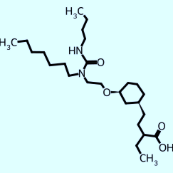 CCCCCCCN(CCO[C@H]1CCC[C@@H](CCC(CC)C(=O)O)C1)C(=O)NCCCC